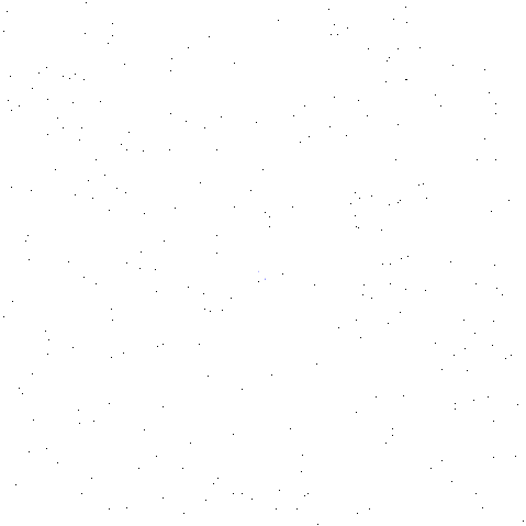 CC1(C)c2ccccc2-c2c1ccc1c2oc2cccc(N(c3ccc4c(c3)C(c3ccccc3)(c3ccccc3)c3ccccc3-4)c3cccc4oc5ccccc5c34)c21